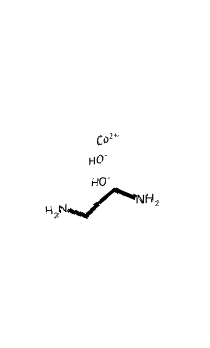 NCCN.[Co+2].[OH-].[OH-]